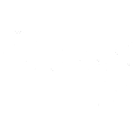 CNC(=O)c1ccc(NC2CCC3(C2)CN(c2nc(Cl)nc4sc(CC(F)(F)F)cc24)C3)cc1